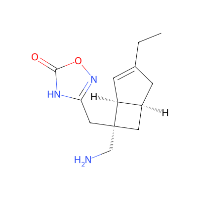 CCC1=C[C@H]2[C@@H](C1)C[C@@]2(CN)Cc1noc(=O)[nH]1